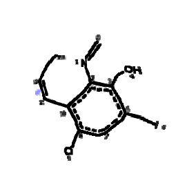 C=Nc1c(O)c(I)cc(Cl)c1/C=C\C